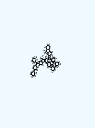 CC1(C)c2ccccc2-c2ccc(N(c3ccc4c(c3)C(C)(C)c3cc(C(c5ccccc5)c5ccc(-c6ccccc6)cc5)ccc3-4)c3cccc4c3-c3ccccc3C43c4ccccc4-c4ccccc43)cc21